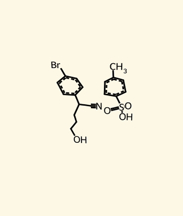 Cc1ccc(S(=O)(=O)O)cc1.N#CC(CCCO)c1ccc(Br)cc1